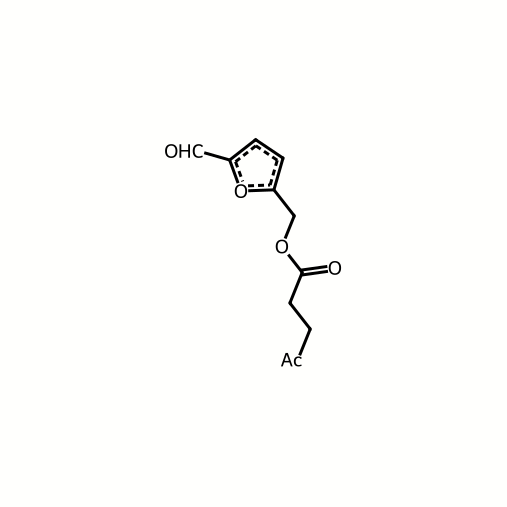 CC(=O)CCC(=O)OCc1ccc(C=O)o1